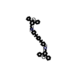 CC(C)(c1ccc(/N=N/C=C2C=C(c3ccccc3)C(=O)C(c3ccccc3)=C2)cc1)c1ccc(C(C)(C)c2ccc(/N=N/C=C3C=C(c4ccccc4)C(=O)C(c4ccccc4)=C3)cc2)cc1